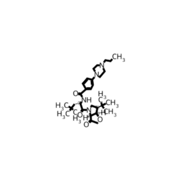 CCCN1CCN(c2ccc(C(=O)N[C@@H](CC(C)(C)C)C(=O)N3C[C@@H](C(C)(C)C)[C@H]4OCC(=O)[C@H]43)cc2)CC1